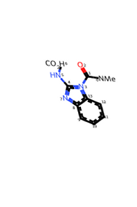 CNC(=O)n1c(NC(=O)O)nc2ccccc21